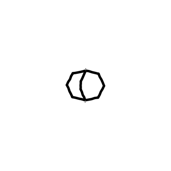 C1C[C]2CCC[C](C1)CC2